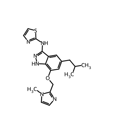 CC(C)Cc1cc(OCc2nccn2C)c2[nH]nc(Nc3nccs3)c2c1